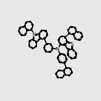 c1cc(-c2cccc3c2c2ccccc2n3-c2cccc3ccccc23)cc(N(c2ccc(-c3cccc4ccccc34)cc2)c2ccc(-c3cccc4ccccc34)c3sc4ccccc4c23)c1